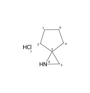 C1CCC2(C1)CN2.Cl